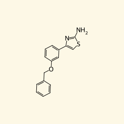 Nc1nc(-c2cccc(OCc3ccccc3)c2)cs1